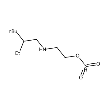 CCCCC(CC)CNCCO[SH](=O)=O